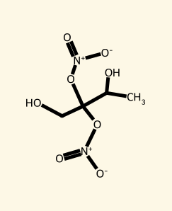 CC(O)C(CO)(O[N+](=O)[O-])O[N+](=O)[O-]